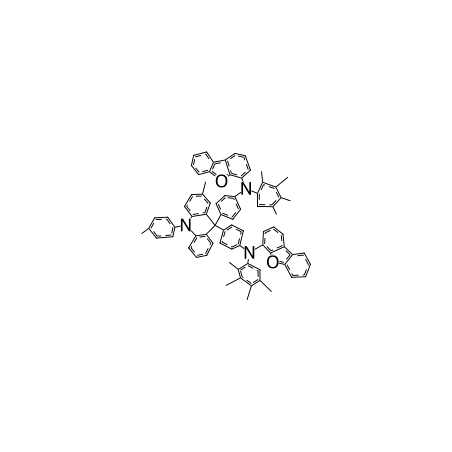 Cc1ccc(N2c3ccccc3C(c3ccc(N(c4cc(C)c(C)c(C)c4C)c4cccc5c4oc4ccccc45)cc3)(c3ccc(N(c4cc(C)c(C)c(C)c4C)c4cccc5c4oc4ccccc45)cc3)c3cc(C)ccc32)cc1